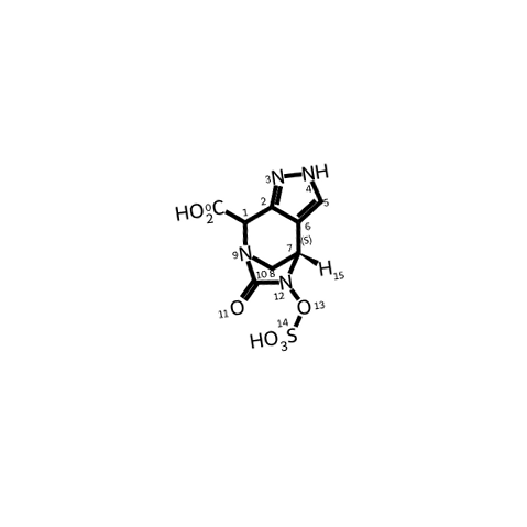 O=C(O)C1c2n[nH]cc2[C@H]2CN1C(=O)N2OS(=O)(=O)O